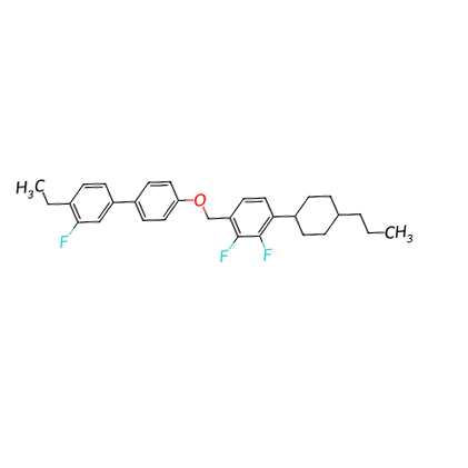 CCCC1CCC(c2ccc(COc3ccc(-c4ccc(CC)c(F)c4)cc3)c(F)c2F)CC1